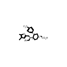 Cc1cc(CN(CC(C)C)[C@@H]2CC[C@@H](CC(=O)O)C[C@H]2c2ccc(C(F)(F)F)cc2)oc1C